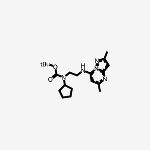 Cc1cc(NCCN(C(=O)OC(C)(C)C)C2CCCC2)n2nc(C)cc2n1